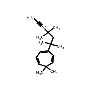 CC#[N+]C(C)(C)CC(C)(C)C1=CC=CC(C)(C)C=C1